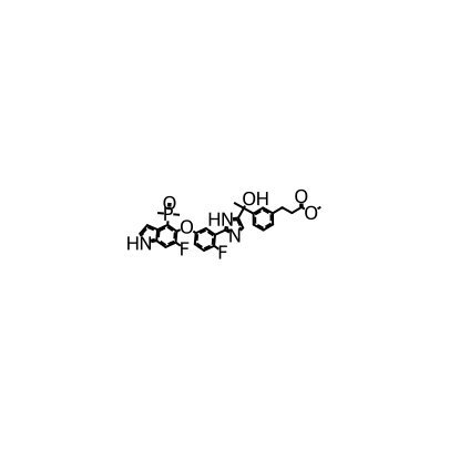 COC(=O)CCc1cccc(C(C)(O)c2cnc(-c3cc(Oc4c(F)cc5[nH]ccc5c4P(C)(C)=O)ccc3F)[nH]2)c1